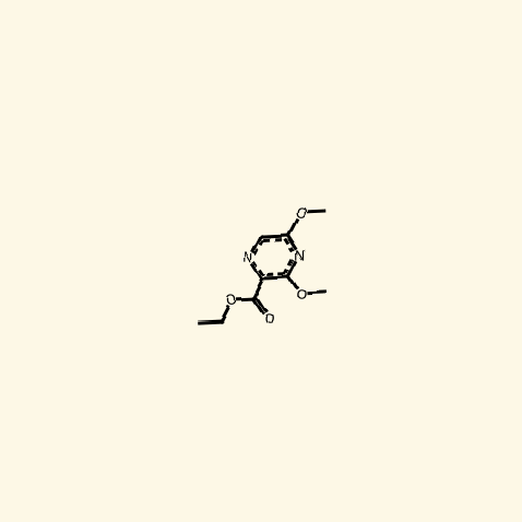 CCOC(=O)c1ncc(OC)nc1OC